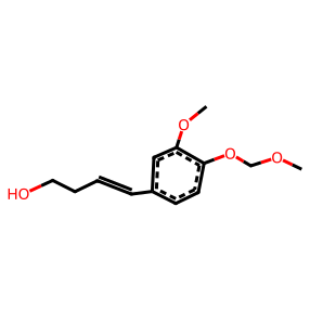 COCOc1ccc(C=CCCO)cc1OC